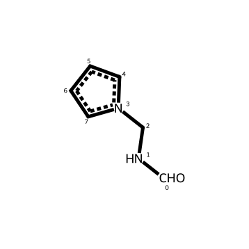 O=CNCn1cccc1